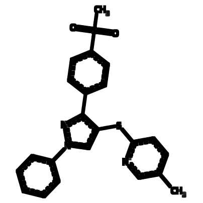 Cc1ccc(Sc2cn(-c3ccccc3)nc2-c2ccc(S(C)(=O)=O)cc2)nc1